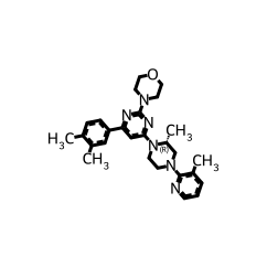 Cc1ccc(-c2cc(N3CCN(c4ncccc4C)C[C@H]3C)nc(N3CCOCC3)n2)cc1C